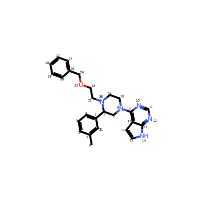 Cc1cccc(C2CN(c3ncnc4[nH]ccc34)CCN2CCOCc2ccccc2)c1